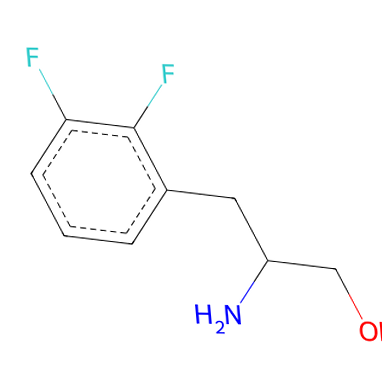 NC(CO)Cc1cccc(F)c1F